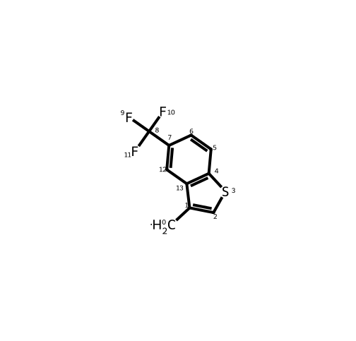 [CH2]c1csc2ccc(C(F)(F)F)cc12